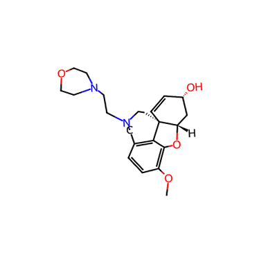 COc1ccc2c3c1O[C@H]1C[C@@H](O)C=C[C@]31CCN(CCN1CCOCC1)C2